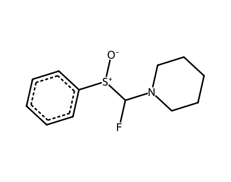 [O-][S+](c1ccccc1)C(F)N1CCCCC1